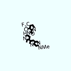 CNc1cc2ncc(-c3cc(NC(=O)c4nccc(C(F)(F)F)c4Cl)cnc3C)cc2cn1